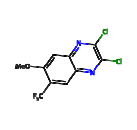 COc1cc2nc(Cl)c(Cl)nc2cc1C(F)(F)F